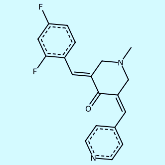 CN1CC(=Cc2ccncc2)C(=O)/C(=C/c2ccc(F)cc2F)C1